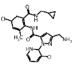 CC1=CC(Cl)CC(C(=O)NCC2CC2)=C1NC(=O)c1cc(CN)nn1C1NC=CC=C1Cl